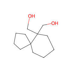 OCC1(CO)CCCCC12CCCC2